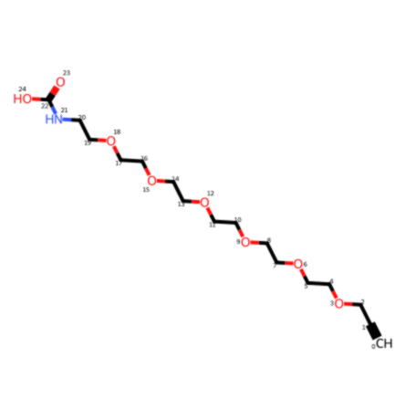 C#CCOCCOCCOCCOCCOCCOCCNC(=O)O